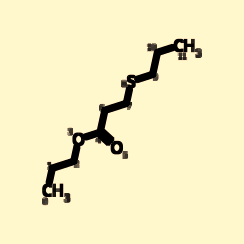 CCCOC(=O)CCSCCC